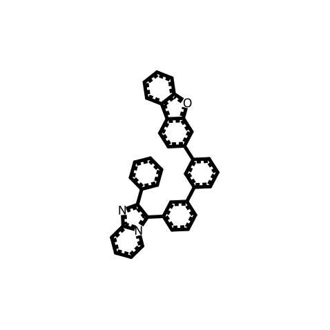 c1ccc(-c2nc3ccccn3c2-c2cccc(-c3cccc(-c4ccc5c(c4)oc4ccccc45)c3)c2)cc1